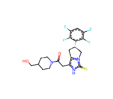 O=C(Cc1[nH]c(=S)n2c1C[C@H](c1c(F)c(F)cc(F)c1F)C2)N1CCC(CO)CC1